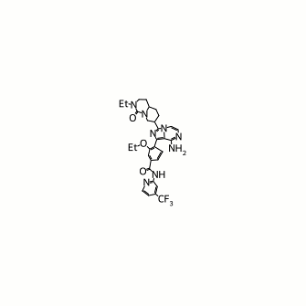 CCOc1cc(C(=O)Nc2cc(C(F)(F)F)ccn2)ccc1-c1nc(C2CCC3CCN(CC)C(=O)N3C2)n2ccnc(N)c12